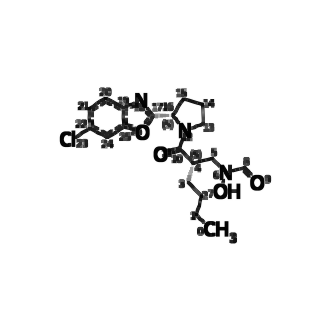 CCCC[C@@H](CN(O)C=O)C(=O)N1CCC[C@H]1c1nc2ccc(Cl)cc2o1